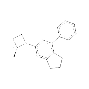 C[C@H]1CCN1c1nc2c(c(-c3ccccc3)n1)CCC2